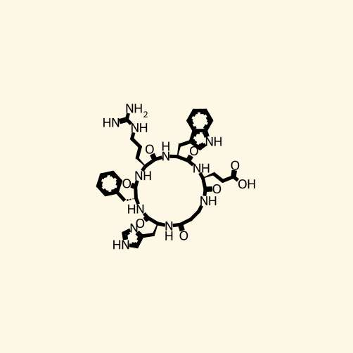 N=C(N)NCCC[C@@H]1NC(=O)[C@@H](Cc2ccccc2)NC(=O)[C@H](Cc2c[nH]cn2)NC(=O)CCNC(=O)[C@H](CCC(=O)O)NC(=O)[C@H](Cc2c[nH]c3ccccc23)NC1=O